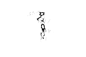 COc1cccc(-c2ccnc(Nc3ccc(N4CCN(C)CC4)c(C(F)(F)F)c3)n2)c1